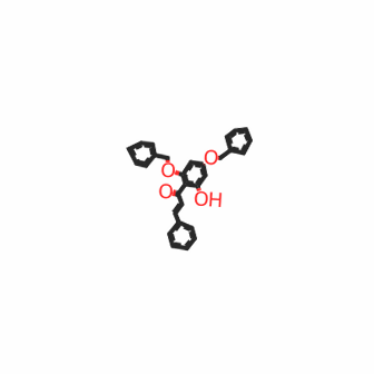 O=C(C=Cc1ccccc1)c1c(O)cc(OCc2ccccc2)cc1OCc1ccccc1